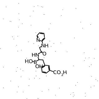 O=C(CNc1ccccn1)NC(Cc1cccc(C(=O)O)c1)B(O)O